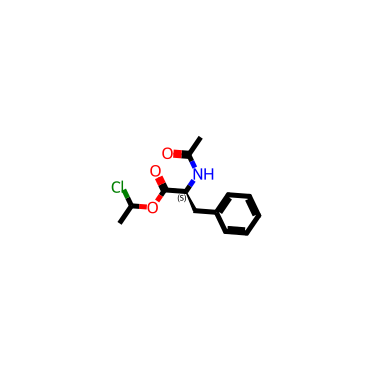 CC(=O)N[C@@H](Cc1ccccc1)C(=O)OC(C)Cl